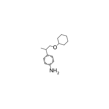 CC(COC1CCCCC1)c1ccc(N)cc1